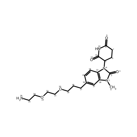 Cn1c(=O)n(C2CCC(=O)NC2=O)c2ccc(CCCOCCOCCN)cc21